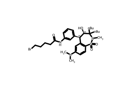 CCCCC1(CCCC)[C@H](O)[C@H](c2cccc(NC(=O)CCCCBr)c2)c2cc(N(C)C)ccc2S(=O)(=O)N1C